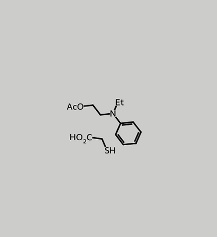 CCN(CCOC(C)=O)c1ccccc1.O=C(O)CS